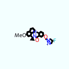 COc1cc(C2(NC(=O)c3cc(OCN4C[C@H](F)CN4C)ccc3C)CC2)c2ccccc2c1